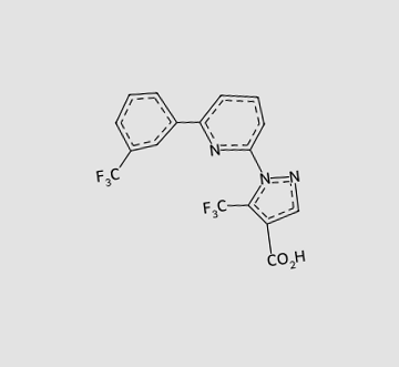 O=C(O)c1cnn(-c2cccc(-c3cccc(C(F)(F)F)c3)n2)c1C(F)(F)F